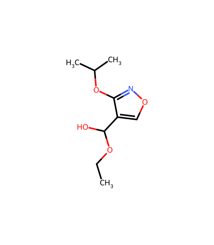 CCOC(O)c1conc1OC(C)C